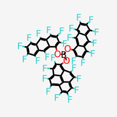 Fc1c(F)c(F)c2c(F)c3c(OB(Oc4c(F)c(F)c(F)c5c(F)c6c(F)c(F)c(F)c(F)c6c(F)c45)Oc4c(F)c(F)c5c(F)c(F)c6c(F)c(F)c(F)c7c(F)c(F)c4c5c67)c(F)c(F)c(F)c3c(F)c2c1F